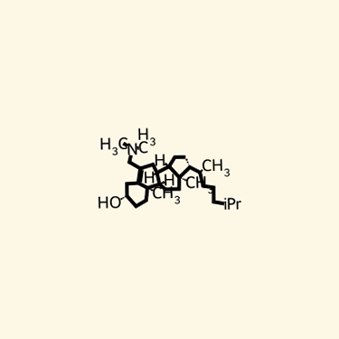 CC(C)CCC[C@@H](C)[C@H]1CC[C@H]2[C@@H]3CC(CN(C)C)=C4C[C@@H](O)CC[C@]4(C)[C@H]3CC[C@]12C